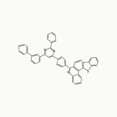 c1ccc(-c2cccc(-c3cc(-c4ccc(-c5nc6ccccc6c6c5ccc5c7ccccc7sc56)cc4)nc(-c4ccccc4)n3)c2)cc1